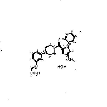 Cc1cc(C(=O)N2CCN(c3cccc(OCC(=O)O)c3)CC2)n(-c2ccccc2)n1.Cl